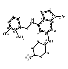 CC(C)n1cnc2c(NCc3cccc(Cl)c3N)nc(NC3CCC(N)CC3)nc21